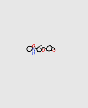 c1ccccc2c(ccc1)NC(c1ccccc3c(ccc1)CC(c1ccccc4c(ccc1)COCC4)O3)CO2